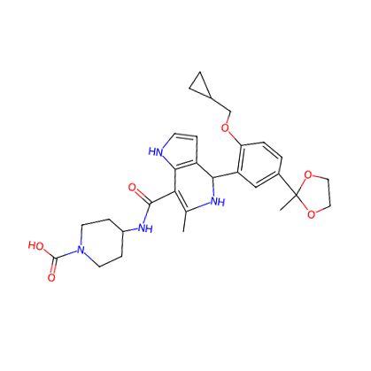 CC1=C(C(=O)NC2CCN(C(=O)O)CC2)c2[nH]ccc2C(c2cc(C3(C)OCCO3)ccc2OCC2CC2)N1